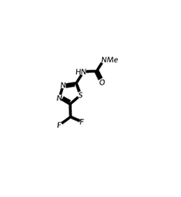 CNC(=O)Nc1nnc(C(F)F)s1